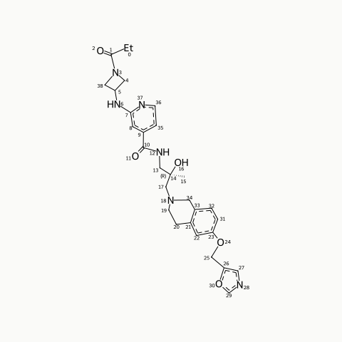 CCC(=O)N1CC(Nc2cc(C(=O)NC[C@@](C)(O)CN3CCc4cc(OCc5cnco5)ccc4C3)ccn2)C1